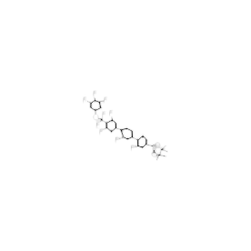 CC1(C)OB(c2ccc(-c3ccc(-c4cc(F)c(C(F)(F)Oc5cc(F)c(F)c(F)c5)c(F)c4)c(F)c3)c(F)c2)OC1(C)C